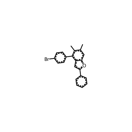 Cc1cc2oc(-c3ccccc3)cc2c(-c2ccc(Br)cc2)c1C